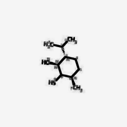 CC(C)[C@@H]1CC[C@@H](C)C(S)[C@H]1O